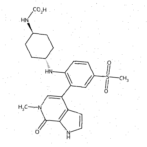 Cn1cc(-c2cc(S(C)(=O)=O)ccc2N[C@H]2CC[C@H](NC(=O)O)CC2)c2cc[nH]c2c1=O